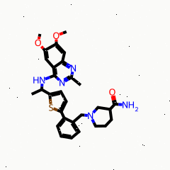 COc1cc2nc(C)nc(NC(C)c3ccc(-c4ccccc4CN4CCCC(C(N)=O)C4)s3)c2cc1OC